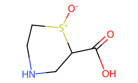 O=C(O)C1CNCC[S+]1[O-]